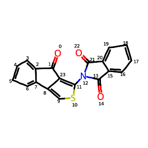 O=C1c2ccccc2-c2csc(N3C(=O)c4ccccc4C3=O)c21